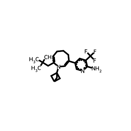 CC(C)(C)C/C1=C/CCC/C(c2cnc(N)c(C(F)(F)F)c2)=C\N1C12CC(C1)C2